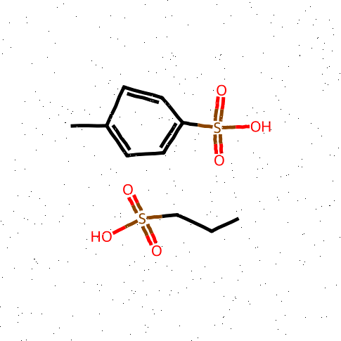 CCCS(=O)(=O)O.Cc1ccc(S(=O)(=O)O)cc1